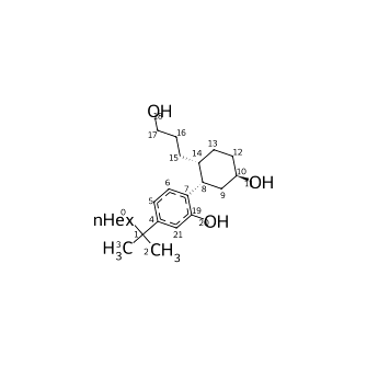 CCCCCCC(C)(C)c1ccc([C@H]2C[C@H](O)CC[C@H]2CCCO)c(O)c1